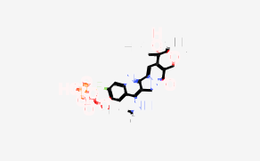 C=C1OCc2c(cc3n(c2=O)Cc2c-3nc3cc(F)c(OC(=O)OP(=O)(O)O)cc3c2NC(C)C)[C@@]1(O)CC